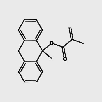 C=C(C)C(=O)OC1(C)c2ccccc2Cc2ccccc21